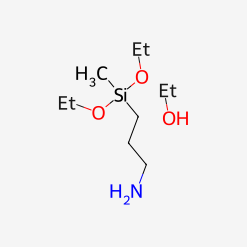 CCO.CCO[Si](C)(CCCN)OCC